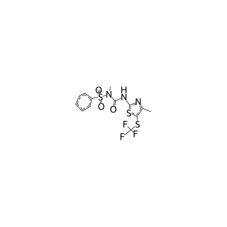 Cc1nc(NC(=O)N(C)S(=O)(=O)c2ccccc2)sc1SC(F)(F)F